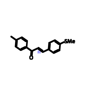 CSc1ccc(/C=C/C(=O)c2ccc(C)cc2)cc1